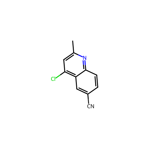 Cc1cc(Cl)c2cc(C#N)ccc2n1